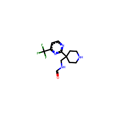 O=CNCC1(c2nccc(C(F)(F)F)n2)CCNCC1